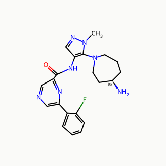 Cn1ncc(NC(=O)c2cncc(-c3ccccc3F)n2)c1N1CCC[C@@H](N)CC1